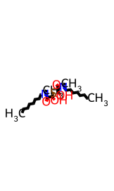 CCCCCCCCN(C)C(=O)C(O)SC(O)C(=O)N(C)CCCCCCCC